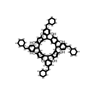 Oc1cc(O)c2cc1C(c1ccc(CC3CCCCC3)cc1)c1cc(c(O)cc1O)C(c1ccc(CC3CCCCC3)cc1)c1cc(c(O)cc1O)C(c1ccc(CC3CCCCC3)cc1)c1cc(c(O)cc1O)C2c1ccc(CC2CCCCC2)cc1